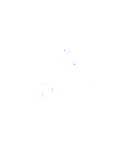 CCCCC1CC(N(N)C(N)=O)CCC1N(N)C(N)=O